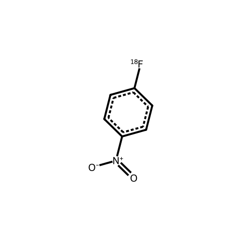 O=[N+]([O-])c1ccc([18F])cc1